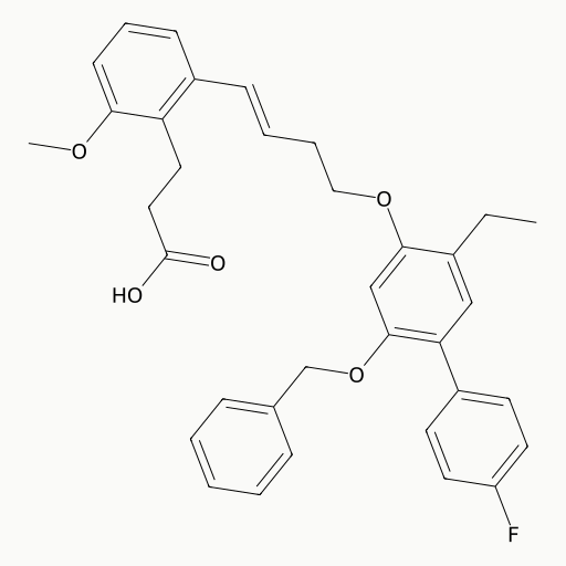 CCc1cc(-c2ccc(F)cc2)c(OCc2ccccc2)cc1OCCC=Cc1cccc(OC)c1CCC(=O)O